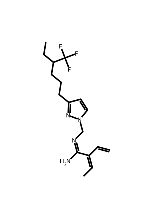 C=CC(=C/C)/C(N)=N\Cn1ccc(CCCC(CC)C(F)(F)F)n1